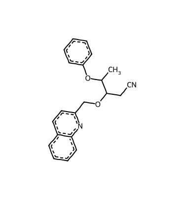 CC(Oc1ccccc1)C(CC#N)OCc1ccc2ccccc2n1